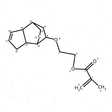 C=C(C)C(=O)OCCOC1CC2CCC1C1CC=CC21